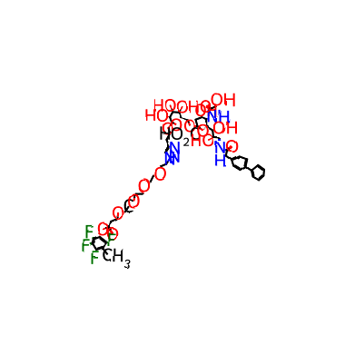 Cc1c(F)c(F)c(F)c(OC(=O)CCOCCOCCOCCOCCn2cc(CCO[C@@H]3O[C@H](CO[C@]4(C(=O)O)C[C@H](O)[C@@H](NC(=O)CO)[C@H]([C@H](O)[C@H](O)CNC(=O)Cc5ccc(-c6ccccc6)cc5)O4)[C@H](O)[C@H](O)[C@H]3O)nn2)c1F